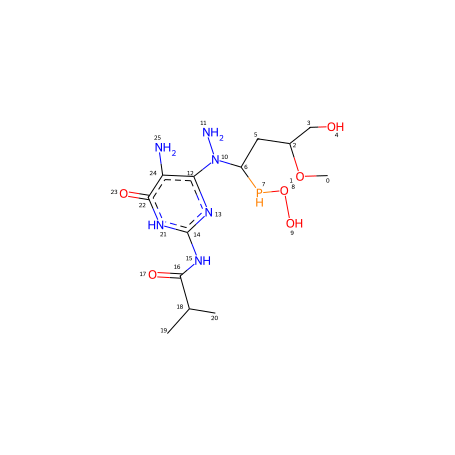 COC(CO)CC(POO)N(N)c1nc(NC(=O)C(C)C)[nH]c(=O)c1N